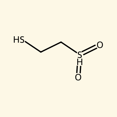 O=[SH](=O)CCS